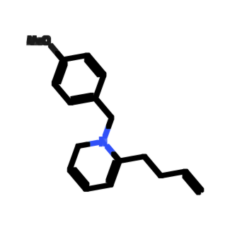 C=CCCC1=CC=CCN1Cc1ccc(OC)cc1